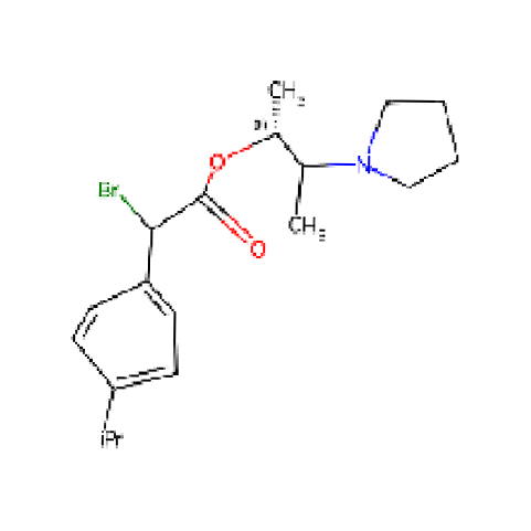 CC(C)c1ccc(C(Br)C(=O)O[C@H](C)C(C)N2CCCC2)cc1